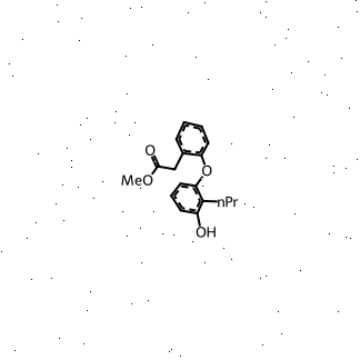 CCCc1c(O)cccc1Oc1ccccc1CC(=O)OC